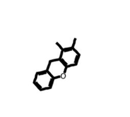 Cc1ccc2c(c1C)Cc1ccccc1O2